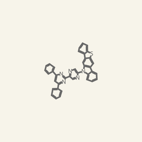 c1ccc(-c2cc(-c3ccccc3)nc(-c3cnc(-n4c5ccccc5c5cc6sc7ccccc7c6cc54)cn3)n2)cc1